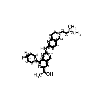 C[C@@H](O)c1cc2cnc(Nc3ccc4c(n3)CCN(CCN(C)C)C4)nc2c(N2CCC(F)(F)CC2)n1